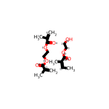 C=C(C)C(=O)OCCOC(=O)C(=C)C.CC=C(C)C(=O)OCCO